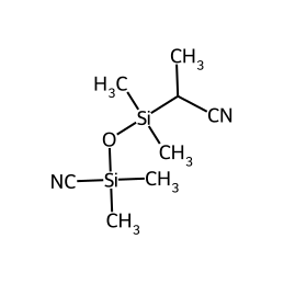 CC(C#N)[Si](C)(C)O[Si](C)(C)C#N